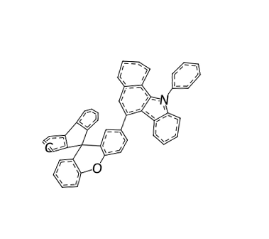 c1ccc(-n2c3ccccc3c3c(-c4ccc5c(c4)C4(c6ccccc6O5)c5ccccc5-c5ccccc54)cc4ccccc4c32)cc1